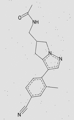 CC(=O)NCC1Cc2c(-c3ccc(C#N)cc3C)cnn2C1